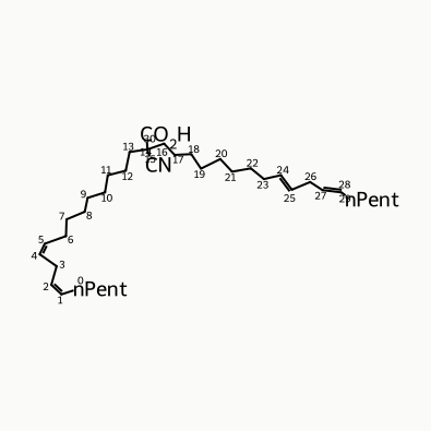 CCCCC/C=C\C/C=C\CCCCCCCCC(C#N)(CCCCCCCC/C=C/C/C=C/CCCCC)C(=O)O